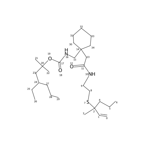 C=CC(C)(CCC)SCCNC(=O)CC1(CNC(=O)OC(C)(C)CC(CC)CCC)CCCCC1